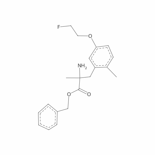 Cc1ccc(OCCF)cc1CC(C)(N)C(=O)OCc1ccccc1